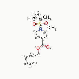 C[C@@H]1CC(C(=O)OCc2ccccc2)=CCN1S(=O)(=O)C(C)(C)C